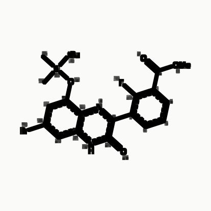 COC(=O)c1cccc(-c2nc3c(O[Si](C)(C)C(C)(C)C)cc(Br)cc3[nH]c2=O)c1F